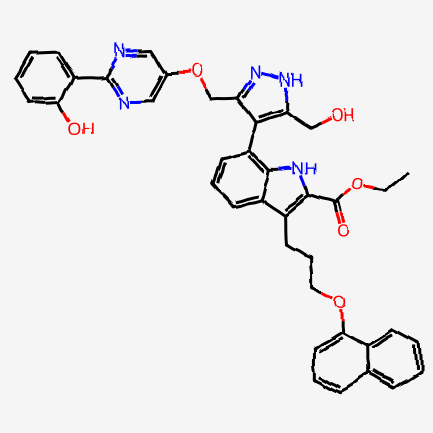 CCOC(=O)c1[nH]c2c(-c3c(COc4cnc(-c5ccccc5O)nc4)n[nH]c3CO)cccc2c1CCCOc1cccc2ccccc12